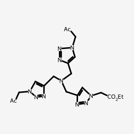 CCOC(=O)Cn1cc(CN(Cc2cn(CC(C)=O)nn2)Cc2cn(CC(C)=O)nn2)nn1